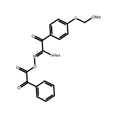 CCCCCC/C(=N\OC(=O)C(=O)c1ccccc1)C(=O)c1ccc(SCOC)cc1